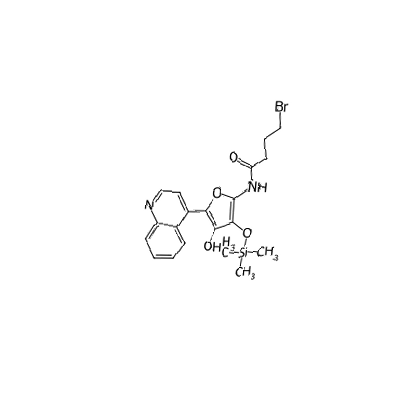 C[Si](C)(C)Oc1c(NC(=O)CCCBr)oc(-c2ccnc3ccccc23)c1O